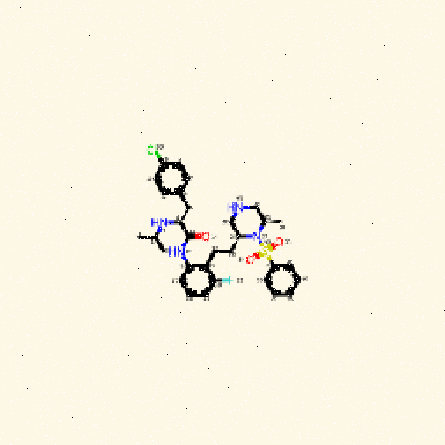 CC(C)N[C@@H](Cc1ccc(Cl)cc1)C(=O)Nc1cccc(F)c1CC[C@H]1CNC[C@@H](C)N1S(=O)(=O)c1ccccc1